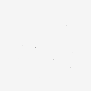 CC(CN(C)C)n1ncc(N)c1N1CCCC1